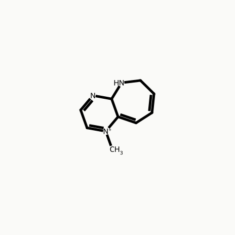 C[N+]1=CC=NC2NCC=CC=C21